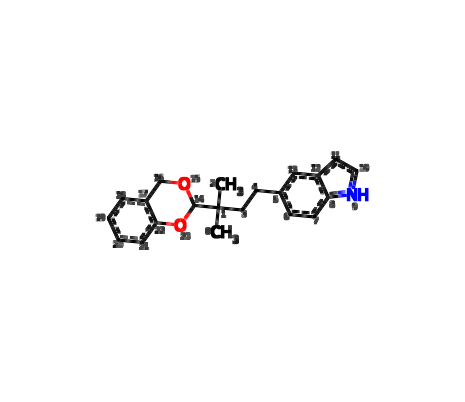 CC(C)(CCc1ccc2[nH]ccc2c1)C1OCc2ccccc2O1